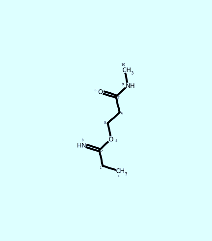 CCC(=N)OCCC(=O)NC